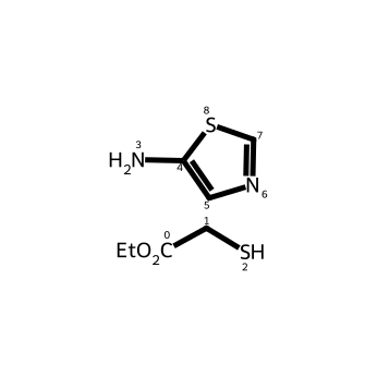 CCOC(=O)CS.Nc1cncs1